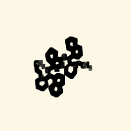 C=CCN1CCCC[C@@H]1[C@H](Oc1nnc(O[C@H](c2cccc3ccccc23)[C@H]2CCCCN2CC)c2ccccc12)c1cccc2ccccc12